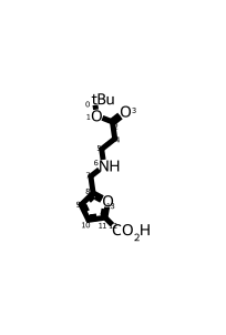 CC(C)(C)OC(=O)CCNCc1ccc(C(=O)O)o1